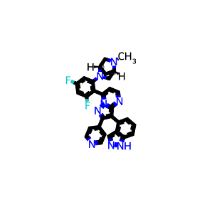 CN1C[C@@H]2C[C@H]1CN2c1cc(F)cc(F)c1-c1ccnc2c(-c3cccc4[nH]ncc34)c(-c3ccncc3)nn12